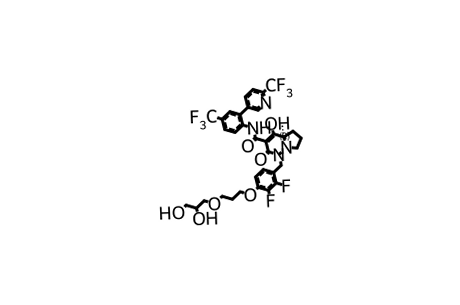 C[C@]12CCCN1N(Cc1ccc(OCCCOCC(O)CO)c(F)c1F)C(=O)C(C(=O)Nc1ccc(C(F)(F)F)cc1-c1ccc(C(F)(F)F)nc1)=C2O